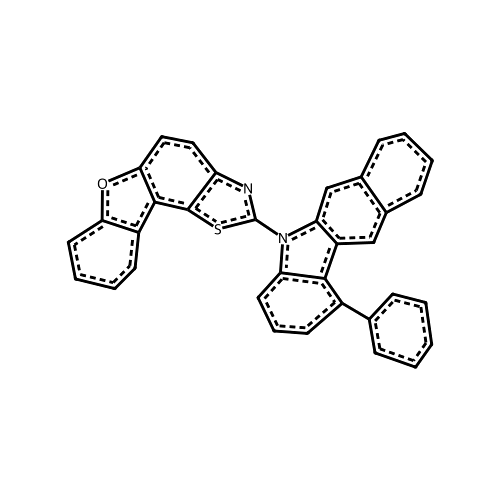 c1ccc(-c2cccc3c2c2cc4ccccc4cc2n3-c2nc3ccc4oc5ccccc5c4c3s2)cc1